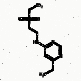 CCc1cc(NCCS(=O)(=O)CC)ncn1